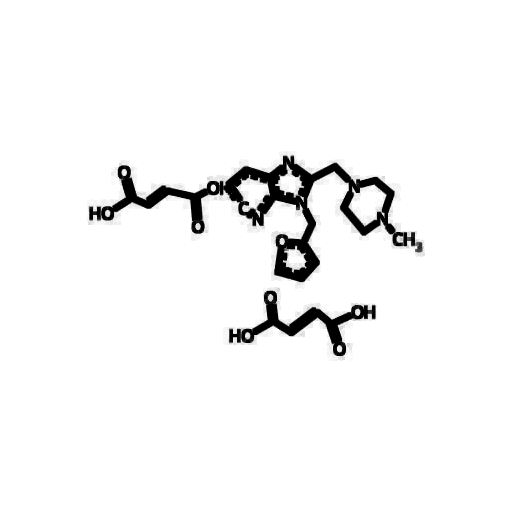 CN1CCN(Cc2nc3cccnc3n2Cc2ccco2)CC1.O=C(O)C=CC(=O)O.O=C(O)C=CC(=O)O